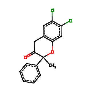 CC1(c2ccccc2)Oc2cc(Cl)c(Cl)cc2CC1=O